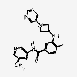 Cc1ccc(C(=O)Nc2cncc(C(F)(F)F)c2)cc1NC1CN(c2cncnc2)C1